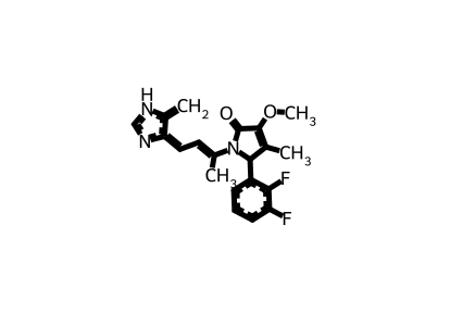 C=c1[nH]cn/c1=C/C=C(\C)N1C(=O)C(OC)=C(C)C1c1cccc(F)c1F